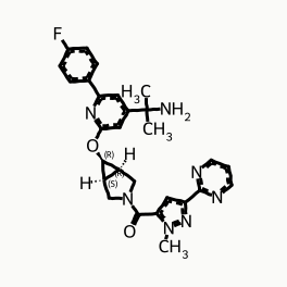 Cn1nc(-c2ncccn2)cc1C(=O)N1C[C@@H]2[C@H](C1)[C@@H]2Oc1cc(C(C)(C)N)cc(-c2ccc(F)cc2)n1